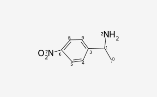 [CH2]C(N)c1ccc([N+](=O)[O-])cc1